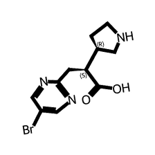 O=C(O)[C@@H](Cc1ncc(Br)cn1)[C@H]1CCNC1